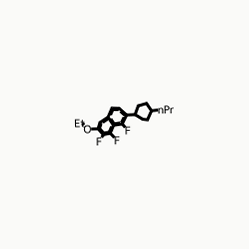 CCCC1CCC(c2ccc3cc(OCC)c(F)c(F)c3c2F)CC1